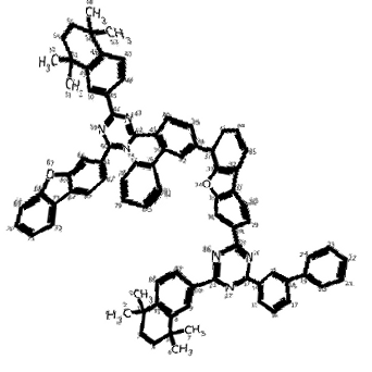 CC1(C)CCC(C)(C)c2cc(-c3nc(-c4cccc(-c5ccccc5)c4)nc(-c4ccc5c6c(oc5c4)C(c4ccc(-c5nc(-c7ccc8c(c7)C(C)(C)CCC8(C)C)nc(-c7ccc8c(c7)oc7ccccc78)n5)c(-c5ccccc5)c4)CC=C6)n3)ccc21